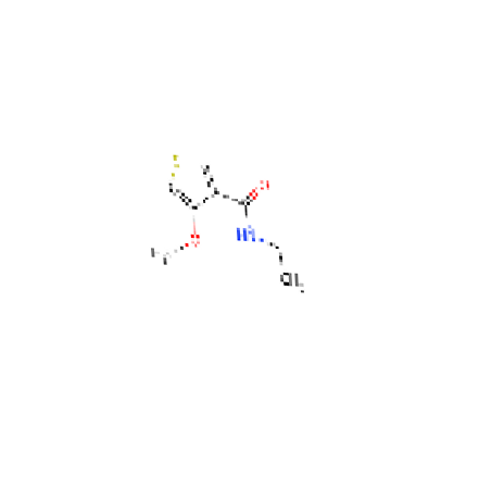 CCNC(=O)c1cscc1OC